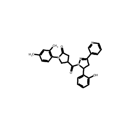 Cc1ccc(N2CC(C(=O)N3N=C(c4cccnc4)CC3c3ccccc3O)CC2=O)c(C)c1